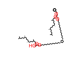 CC(C)CCC[C@@H](C)CCC[C@@H](C)CCCC(C)CCO[C@@H](COCCCCCCCCCCCCCCC[C@H]1CC[C@@H](CCCCCCCCCCCCCCCOC[C@@H](CO)OCCC(C)CCC[C@H](C)CCC[C@H](C)CCCC(C)C)C1)COCc1ccccc1